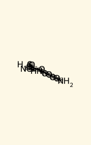 CS(=O)(=O)c1cc(CCCNC(=O)CCOCCOCCOCCOCCN)ccc1C#N